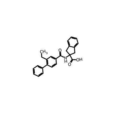 CCc1cc(C(=O)NC2(C(=O)O)Cc3ccccc3C2)ccc1-c1ccccc1